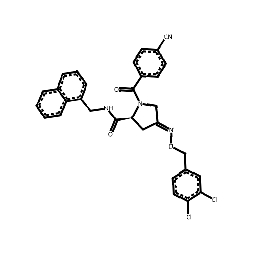 N#Cc1ccc(C(=O)N2C/C(=N/OCc3ccc(Cl)c(Cl)c3)C[C@H]2C(=O)NCc2cccc3ccccc23)cc1